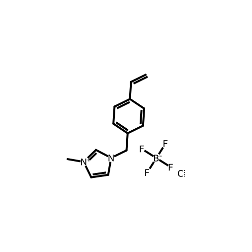 C=Cc1ccc(Cn2cc[n+](C)c2)cc1.F[B-](F)(F)F.[C]